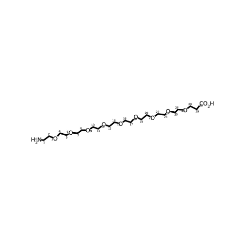 NCCOCCOCCOCCOCCOCCOCCOCCOCCOCCC(=O)O